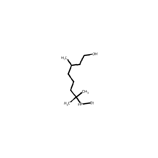 CCPC(C)(C)CCCC(C)CCO